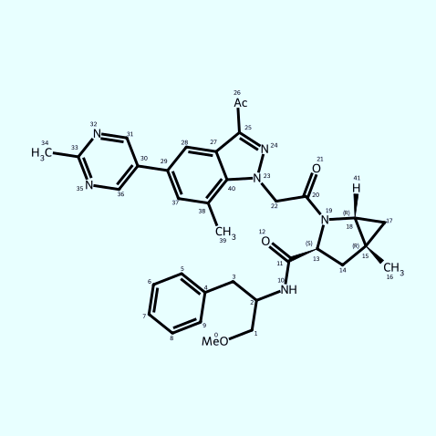 COCC(Cc1ccccc1)NC(=O)[C@@H]1C[C@@]2(C)C[C@H]2N1C(=O)Cn1nc(C(C)=O)c2cc(-c3cnc(C)nc3)cc(C)c21